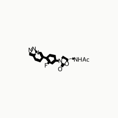 CC(=O)NC[C@H]1CN(c2ccc(-c3ccc4cnnn4c3)c(F)c2)C(=O)O1